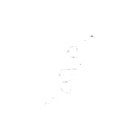 C=CCOc1cc2c(cc1C)OC1(CC2(C)C)CC(C)(C)c2cc(OCC=C)c(C)cc2O1